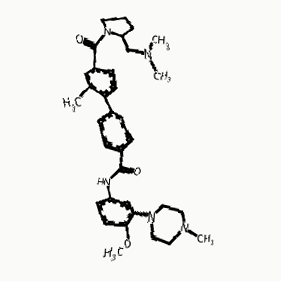 COc1ccc(NC(=O)c2ccc(-c3ccc(C(=O)N4CCCC4CN(C)C)cc3C)cc2)cc1N1CCN(C)CC1